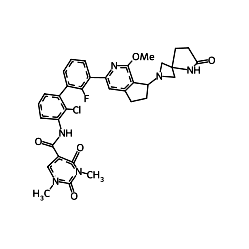 COc1nc(-c2cccc(-c3cccc(NC(=O)c4cn(C)c(=O)n(C)c4=O)c3Cl)c2F)cc2c1C(N1CC3(CCC(=O)N3)C1)CC2